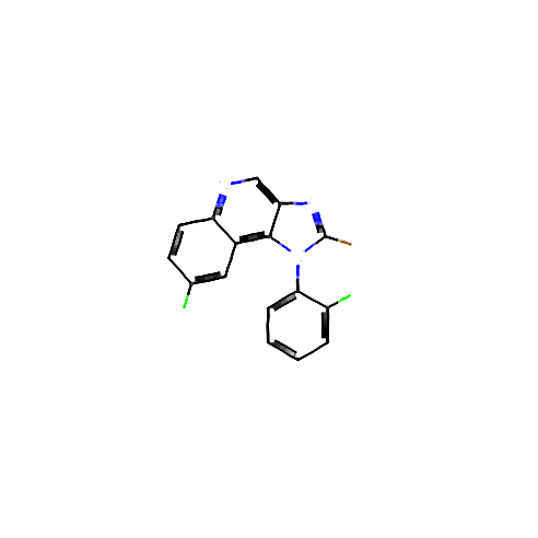 Clc1ccc2ncc3nc(Br)n(-c4ccccc4Cl)c3c2c1